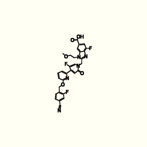 COCCn1c(Cn2cc(F)c(-c3cccc(OCc4ccc(C#N)cc4F)n3)cc2=O)nc2c(F)cc(C(=O)O)cc21